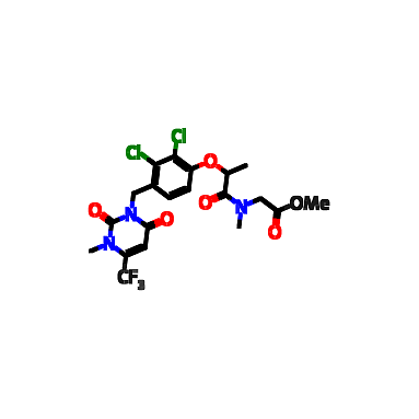 COC(=O)CN(C)C(=O)C(C)Oc1ccc(Cn2c(=O)cc(C(F)(F)F)n(C)c2=O)c(Cl)c1Cl